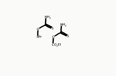 CCCOC(N)=S.CCOC(=O)OC(N)=S